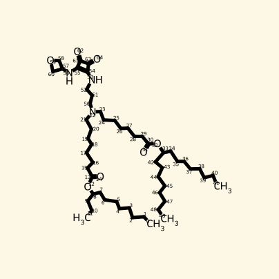 CCCCCCCCC(CCC)OC(=O)CCCCCCCN(CCCCCCCC(=O)OC(CCCCCCCC)CCCCCCCC)CCCNc1c(NC2COC2)c(=O)c1=O